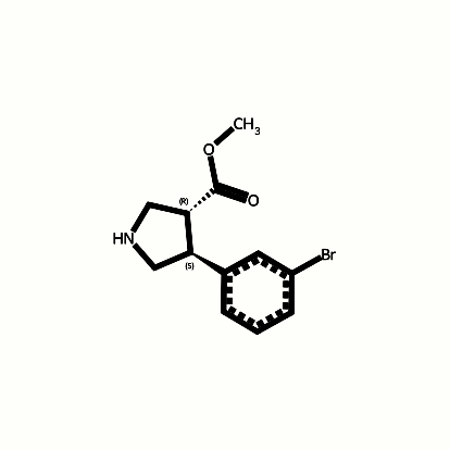 COC(=O)[C@H]1CNC[C@@H]1c1cccc(Br)c1